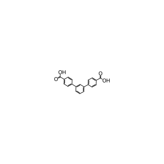 O=C(O)c1ccc(-c2cccc(-c3ccc(C(=O)O)cc3)c2)cc1